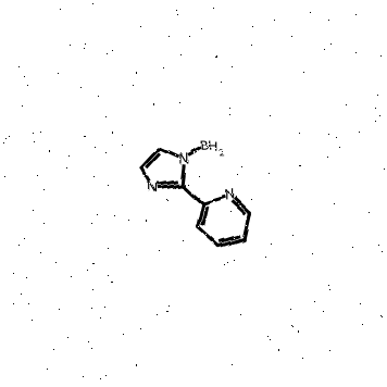 Bn1ccnc1-c1ccccn1